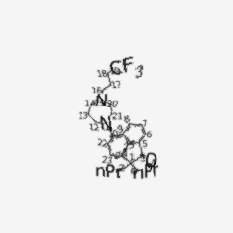 CCCC1(CCC)C(=O)c2cccc3c(N4CCCN(CCCC(F)(F)F)CC4)ccc1c23